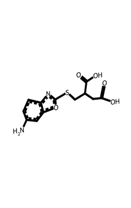 Nc1ccc2nc(SCC(CC(=O)O)C(=O)O)oc2c1